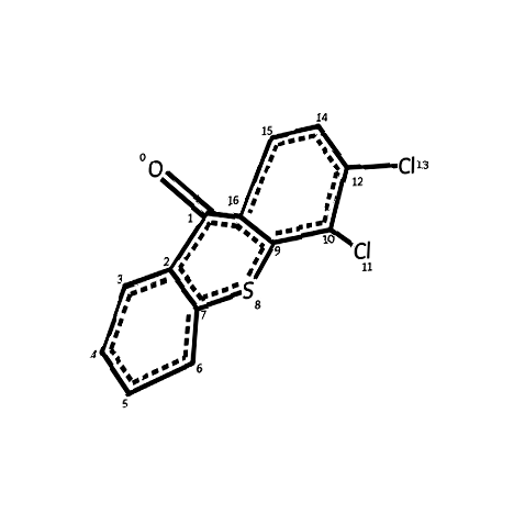 O=c1c2ccccc2sc2c(Cl)c(Cl)ccc12